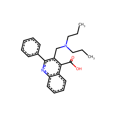 CCCN(CCC)Cc1c(-c2ccccc2)nc2ccccc2c1C(=O)O